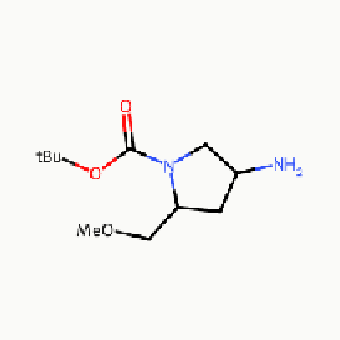 COCC1CC(N)CN1C(=O)OC(C)(C)C